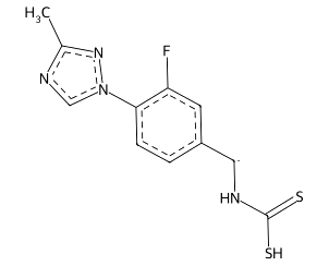 Cc1ncn(-c2ccc([CH]NC(=S)S)cc2F)n1